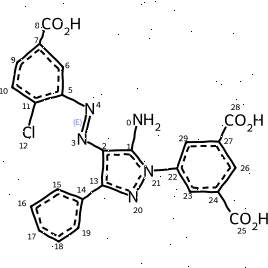 Nc1c(/N=N/c2cc(C(=O)O)ccc2Cl)c(-c2ccccc2)nn1-c1cc(C(=O)O)cc(C(=O)O)c1